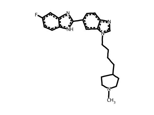 CN1CCC(CCCCn2cnc3ccc(-c4nc5cc(F)ccc5[nH]4)cc32)CC1